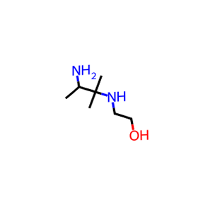 CC(N)C(C)(C)NCCO